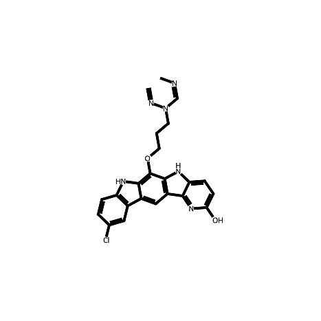 C=NN(/C=N\C)CCCOc1c2[nH]c3ccc(Cl)cc3c2cc2c1[nH]c1ccc(O)nc12